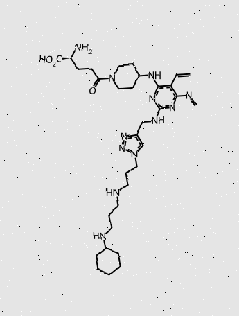 C=Cc1c(N=C)nc(NCc2cn(CCCNCCCNC3CCCCC3)nn2)nc1NC1CCN(C(=O)CC[C@H](N)C(=O)O)CC1